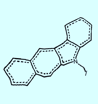 In1c2ccccc2c2cc3ccccc3cc21